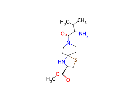 COC(=O)[C@@H]1CSC2(CCN(C(=O)[C@@H](N)C(C)C)CC2)N1